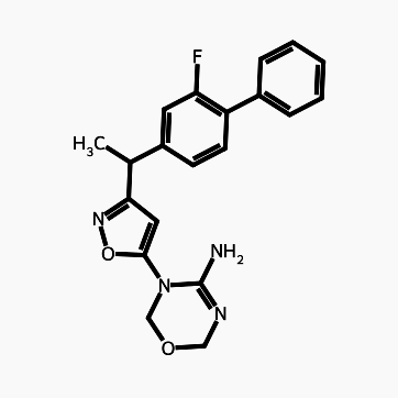 CC(c1ccc(-c2ccccc2)c(F)c1)c1cc(N2COCN=C2N)on1